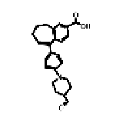 O=CC1CCN(c2ccc(C3=CCCCc4cc(C(=O)O)ccc43)cc2)CC1